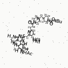 Cl.Cl.[2H]c1c([2H])c(-c2nc(SCc3cccc(CCC(=O)N4CCN(CC5CCN(C(=O)OC(C)(C)C)CC5)CC4)n3)nc(N)c2C#N)c([2H])c([2H])c1NC(C)=O